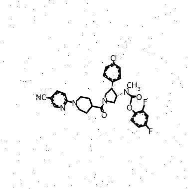 CN(C(=O)Oc1ccc(F)cc1F)[C@@H]1CN(C(=O)C2CCN(c3ccc(C#N)cn3)CC2)C[C@H]1c1ccc(Cl)cc1